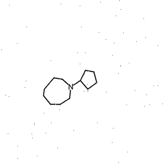 [CH]1CCCC1N1CCCCCCC1